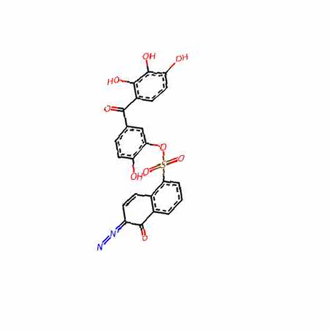 [N-]=[N+]=C1C=Cc2c(cccc2S(=O)(=O)Oc2cc(C(=O)c3ccc(O)c(O)c3O)ccc2O)C1=O